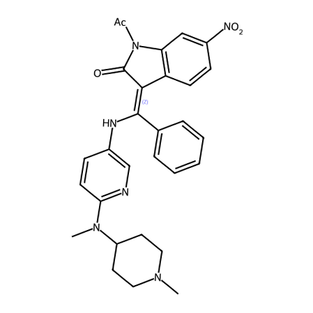 CC(=O)N1C(=O)/C(=C(\Nc2ccc(N(C)C3CCN(C)CC3)nc2)c2ccccc2)c2ccc([N+](=O)[O-])cc21